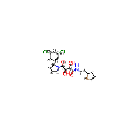 O=C(NCCC1CC=CS1)[C@H](O)[C@@H](O)C(=O)N1CCC[C@@H]1c1cc(Cl)cc(Cl)c1